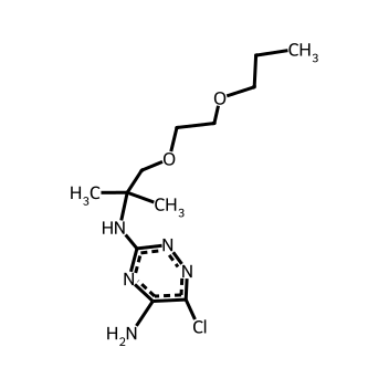 CCCOCCOCC(C)(C)Nc1nnc(Cl)c(N)n1